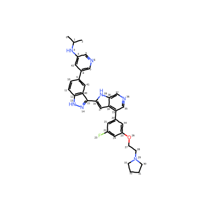 CC(C)Nc1cncc(-c2ccc3[nH]nc(-c4cc5c(-c6cc(F)cc(OCCN7CCCC7)c6)cncc5[nH]4)c3c2)c1